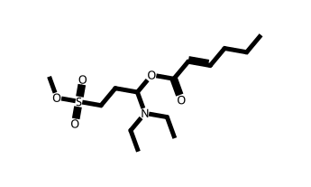 CCCC=CC(=O)OC(CCS(=O)(=O)OC)N(CC)CC